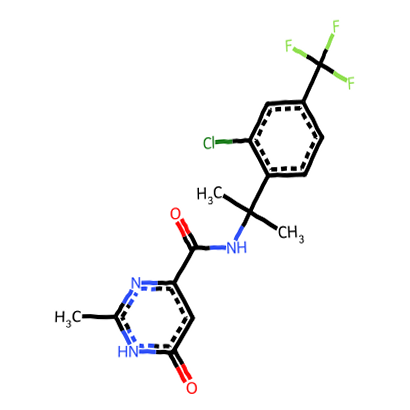 Cc1nc(C(=O)NC(C)(C)c2ccc(C(F)(F)F)cc2Cl)cc(=O)[nH]1